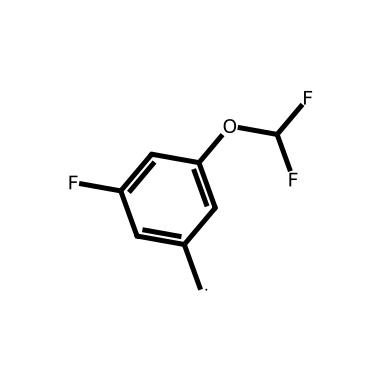 [CH2]c1cc(F)cc(OC(F)F)c1